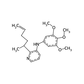 C=CCCC(C)c1ncccc1Nc1cc(OC)c(OC)c(OC)c1